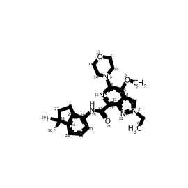 CCn1cc2c(OC)c(N3CCOCC3)nc(C(=O)Nc3cccc4c3CCC4(F)F)c2n1